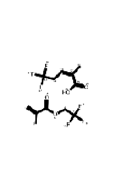 C=C(C)C(=O)OCC(F)(F)F.CC(=CCC(F)(F)F)C(=O)O